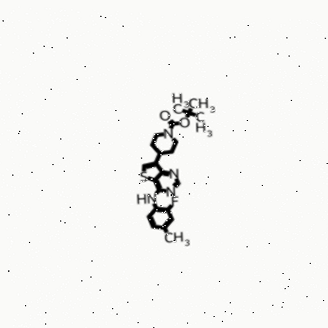 Cc1ccc(Nc2ncnc3c(C4CCN(C(=O)OC(C)(C)C)CC4)csc23)c(F)c1